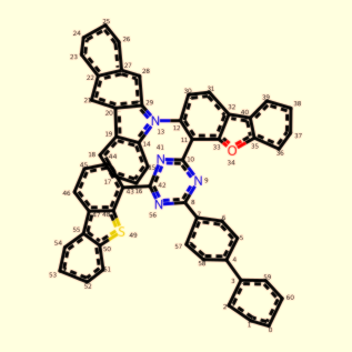 c1ccc(-c2ccc(-c3nc(-c4c(-n5c6ccccc6c6cc7ccccc7cc65)ccc5c4oc4ccccc45)nc(-c4cccc5c4sc4ccccc45)n3)cc2)cc1